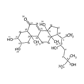 CC(C(O)CCC(C)(C)O)C1CCC2(O)C3=CC(=O)C4CC(O)C(O)CC4(C)C3CCC12C